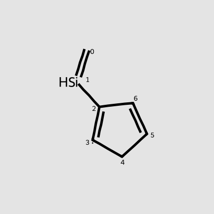 C=[SiH]C1=[C]CC=C1